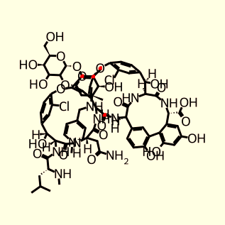 CN[C@H](CC(C)C)C(=O)N[C@H]1C(=O)N[C@@H](CC(N)=O)C(=O)N[C@H]2C(=O)N[C@H]3C(=O)N[C@H](C(=O)N[C@H](C(=O)O)c4cc(O)cc(O)c4-c4cc3ccc4O)[C@H](O)c3ccc(c(Cl)c3)Oc3cc2cc(c3O[C@H]2O[C@H](CO)[C@H](O)C(O)C2O[C@H]2C[C@@](C)(NCc3cc[n+](C)cc3)[C@H](O)C(C)O2)Oc2ccc(cc2Cl)[C@H]1O